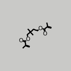 C=C(C)C(=O)OCCC(C)(C)COC(=O)C(=C)C